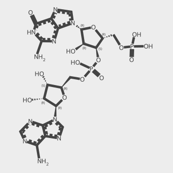 Nc1nc2c(ncn2[C@@H]2O[C@H](COP(=O)(O)O)[C@@H](OP(=O)(O)OC[C@H]3O[C@@H](n4cnc5c(N)ncnc54)[C@H](O)[C@@H]3O)[C@H]2O)c(=O)[nH]1